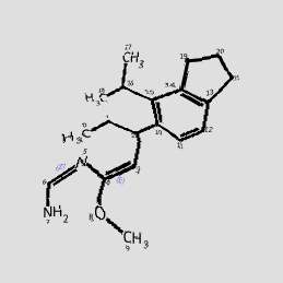 CCC(/C=C(\N=C/N)OC)c1ccc2c(c1C(C)C)CCC2